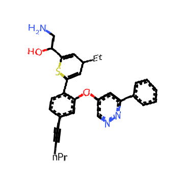 CCCC#Cc1ccc(C2=CC(CC)C=C(C(O)CN)S2)c(Oc2cnnc(-c3ccccc3)c2)c1